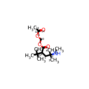 CNC(C)(C)CC(C(=O)OCOC(C)=O)C(C)(C)C